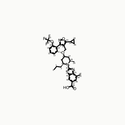 CCC[C@H]1CC(OCc2c(-c3ccccc3OC(F)(F)F)noc2C2CC2)C[C@@H](C)N1c1nc2c(F)cc(C(=O)O)cc2s1